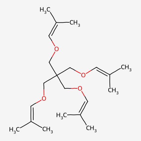 CC(C)=COCC(COC=C(C)C)(COC=C(C)C)COC=C(C)C